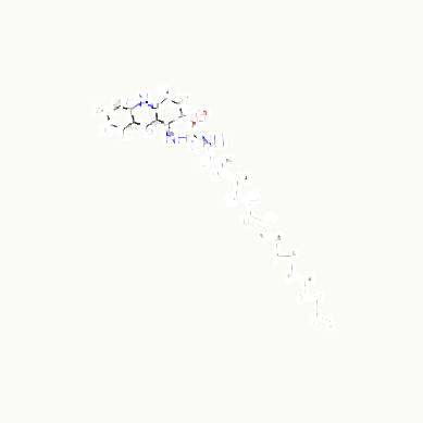 CCCCCCCCCCCCCCCCCCNCC(=O)c1ccc2nc3ccccc3cc2c1N